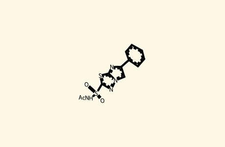 CC(=O)NS(=O)(=O)c1nn2cc(-c3ccccc3)nc2s1